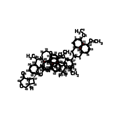 COc1ccc(CN(Cc2ccc(OC)cc2)c2cc(C)c(C(F)(F)F)c(-c3c(Cl)c4c5c(nc(OC[C@@H]6C[C@H]7COCC(=O)N76)nc5c3F)N([C@H](C)c3cccnc3N(Cc3ccc(OC)cc3)Cc3ccc(OC)cc3)CCO4)n2)cc1